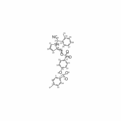 Cc1ccc(S(=O)(=O)Oc2ccc(S(=O)(=O)ON=C3C=C=C[SH]3C(C#N)c3ccccc3C)cc2)cc1